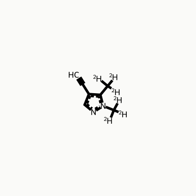 [2H]C([2H])([2H])c1c(C#C)cnn1C([2H])([2H])[2H]